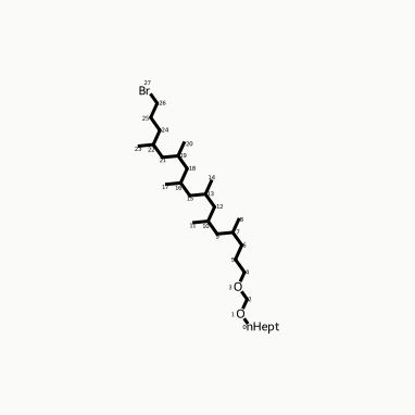 CCCCCCCOCOCCCC(C)CC(C)CC(C)CC(C)CC(C)CC(C)CCCBr